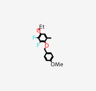 CCOc1cc(C)c(OCc2ccc(OC)cc2)c(F)c1F